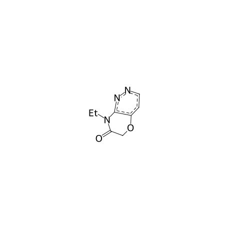 CCN1C(=O)COc2ccnnc21